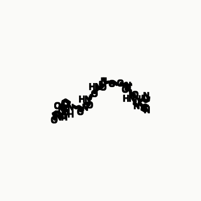 CN(CCOCCOCCN(C)C(=O)CCC(=O)Nc1cnc(-c2ccncc2)c(-c2cccnc2)n1)CC(=O)NCCOCCNC(=O)CN(C)C(=O)CCCNc1cccc2c1C(=O)N(C1CCC(=O)NC1=O)C2=O